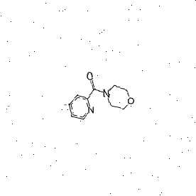 O=C(c1c[c]ccn1)N1CCOCC1